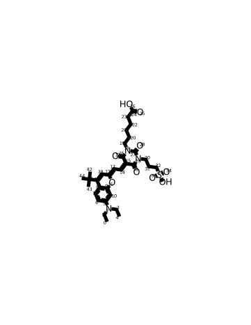 CCN(CC)c1ccc2c(c1)O/C(=C\C=C1/C(=O)N(CCCCCC(=O)O)C(=O)N(CCCS(=O)(=O)O)C1=O)C=C2C(C)(C)C